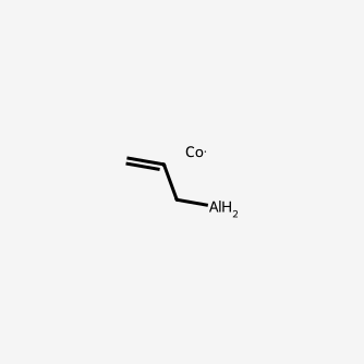 C=C[CH2][AlH2].[Co]